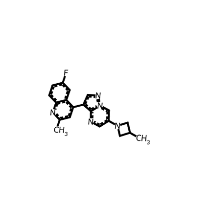 Cc1cc(-c2cnn3cc(N4CC(C)C4)cnc23)c2cc(F)ccc2n1